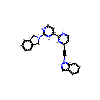 C(#Cn1ncc2ccccc21)c1ccnc(-c2ccnc(N3Cc4ccccc4C3)n2)n1